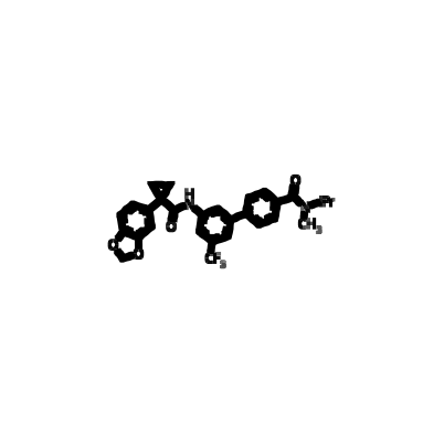 CC(C)N(C)C(=O)c1ccc(-c2cc(NC(=O)C3(c4ccc5c(c4)OCO5)CC3)cc(C(F)(F)F)c2)cc1